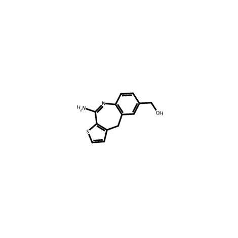 NC1=Nc2ccc(CO)cc2Cc2ccsc21